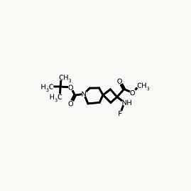 COC(=O)C1(NF)CC2(CCN(C(=O)OC(C)(C)C)CC2)C1